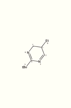 CCC1C=NC(C(C)(C)C)=NC1